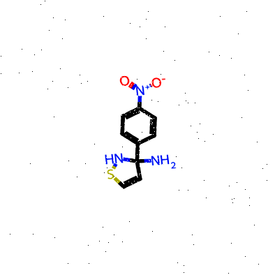 NC1(c2ccc([N+](=O)[O-])cc2)C=CSN1